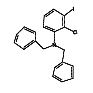 Clc1c(I)cccc1N(Cc1ccccc1)Cc1ccccc1